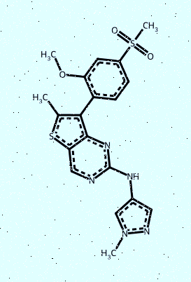 COc1cc(S(C)(=O)=O)ccc1-c1c(C)sc2cnc(Nc3cnn(C)c3)nc12